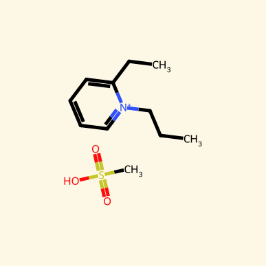 CCC[n+]1ccccc1CC.CS(=O)(=O)O